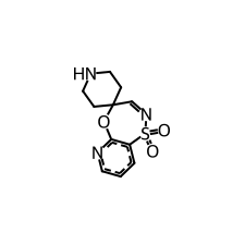 O=S1(=O)N=CC2(CCNCC2)Oc2ncccc21